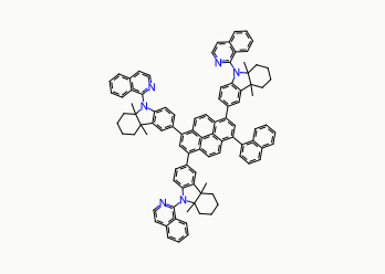 CC12CCCCC1(C)N(c1nccc3ccccc13)c1ccc(-c3cc(-c4ccc5c(c4)C4(C)CCCCC4(C)N5c4nccc5ccccc45)c4ccc5c(-c6cccc7ccccc67)cc(-c6ccc7c(c6)C6(C)CCCCC6(C)N7c6nccc7ccccc67)c6ccc3c4c65)cc12